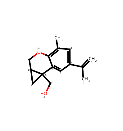 C=C(C)c1cc(C)c2c(c1)C1(CO)CC1CO2